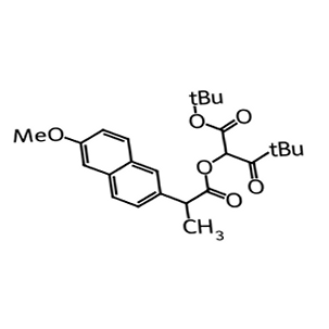 COc1ccc2cc(C(C)C(=O)OC(C(=O)OC(C)(C)C)C(=O)C(C)(C)C)ccc2c1